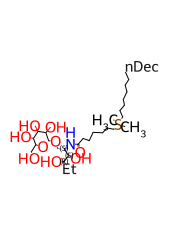 CCCCCCCCCCCCCCCCCCS(C)(C)CCCCCCC(=O)N[C@@H](COC1OC(CO)C(O)C(O)C1O)[C@H](O)[C@H](O)CC